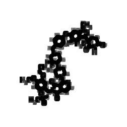 CCOc1cc([C@@H](CS(C)(=O)=O)N2C(=O)c3ccnc(N4CCN([C@H]5CCN(Cc6ccc(Oc7cc8c(cc7F)c([C@@]7(C)CCC(=O)NC7=O)nn8C)cc6)CC5(F)F)CC4)c3C2=O)ccc1OC